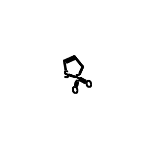 O=S1(=O)CC=CS1